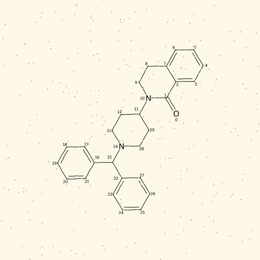 O=C1c2ccccc2CCN1C1CCN(C(c2ccccc2)c2ccccc2)CC1